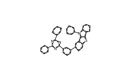 c1ccc(-c2nc(-c3ccccc3)nc(-c3cccc(-c4ccc5sc6c7ccccc7n(-c7ccccc7)c6c5c4)c3)n2)cc1